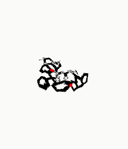 C[C@@H]1Cn2ncc(S(=O)(=NC(=O)Nc3c4c(cc5c3CCC5)CCC4)NC(c3ccccc3)(c3ccccc3)c3ccccc3)c2O1